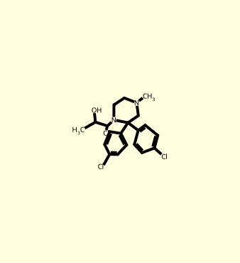 CC(O)C(Cl)N1CCN(C)CC1(c1ccc(Cl)cc1)c1ccc(Cl)cc1